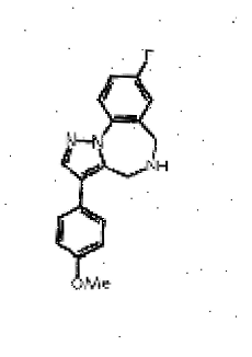 COc1ccc(-c2cnn3c2CNCc2cc(F)ccc2-3)cc1